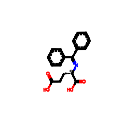 O=C(O)CC[C@H](N=C(c1ccccc1)c1ccccc1)C(=O)O